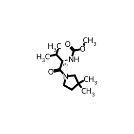 COC(=O)N[C@H](C(=O)N1CCC(C)(C)C1)C(C)C